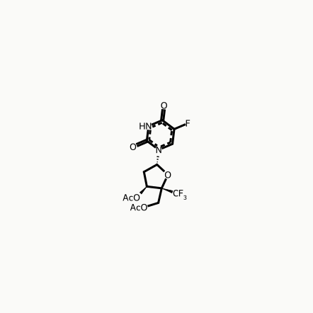 CC(=O)OC[C@@]1(C(F)(F)F)O[C@@H](n2cc(F)c(=O)[nH]c2=O)C[C@@H]1OC(C)=O